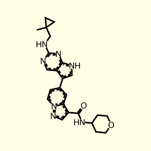 CC1(CNc2ncc3c(-c4ccn5ncc(C(=O)NC6CCOCC6)c5c4)c[nH]c3n2)CC1